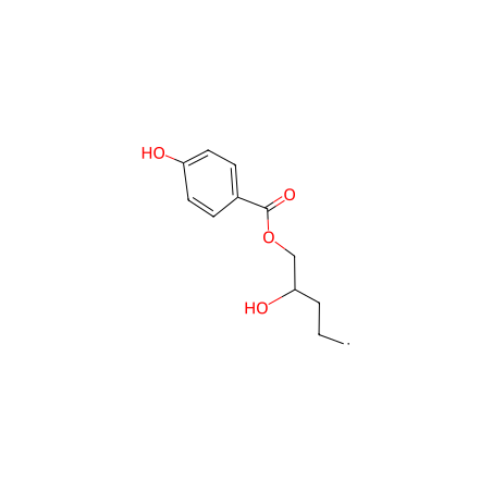 [CH2]CCC(O)COC(=O)c1ccc(O)cc1